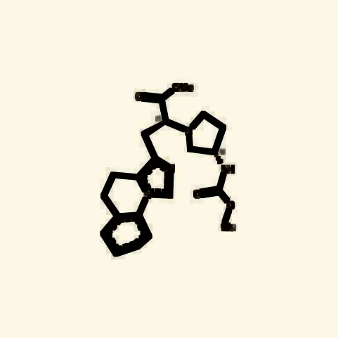 COC(=O)[C@H](Cc1ncn2c1CCc1ccccc1-2)N1CC[C@H](NC(=O)OC(C)(C)C)C1